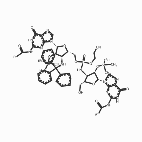 CC(C)C(=O)Nc1nc2c(ncn2[C@@H]2O[C@H](COP(=O)(N[C@H]3[C@@H](O[Si](C)(C)C(C)(C)C)[C@H](n4cnc5c(=O)[nH]c(NC(=O)C(C)C)nc54)O[C@@H]3CO)OCCC#N)[C@@H](NC(c3ccccc3)(c3ccccc3)c3ccccc3)[C@H]2O[Si](C)(C)C(C)(C)C)c(=O)[nH]1